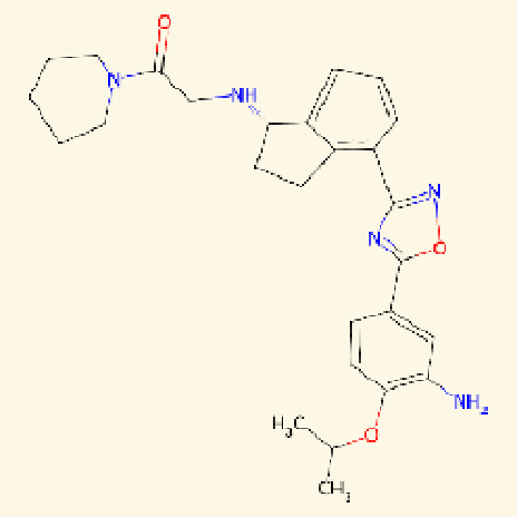 CC(C)Oc1ccc(-c2nc(-c3cccc4c3CC[C@@H]4NCC(=O)N3CCCCC3)no2)cc1N